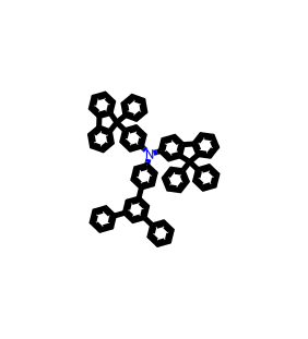 c1ccc(-c2cc(-c3ccccc3)cc(-c3ccc(N(c4ccc(C5(c6ccccc6)c6ccccc6-c6ccccc65)cc4)c4ccc5c(c4)C(c4ccccc4)(c4ccccc4)c4ccccc4-5)cc3)c2)cc1